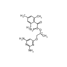 Cc1cc(C)c(C(=O)[C@H](P)O[C@@H](C)COc2cc(N)nc(N)n2)c(C)c1